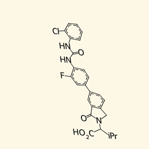 CC(C)C(C(=O)O)N1Cc2ccc(-c3ccc(NC(=O)Nc4ccccc4Cl)c(F)c3)cc2C1=O